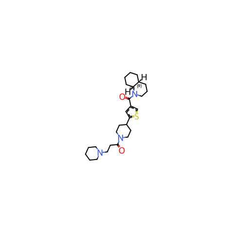 O=C(CCN1CCCCC1)N1CCC(c2cc(C(=O)N3CCC[C@H]4CCCC[C@H]43)cs2)CC1